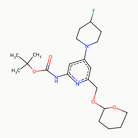 CC(C)(C)OC(=O)Nc1cc(N2CCC(F)CC2)cc(COC2CCCCO2)n1